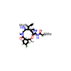 C#C/C(NC)=C1/C(=N)CN(C)C(=O)c2ccc(F)cc2[C@H](C)Oc2cc1cnc2NC(=O)CNC